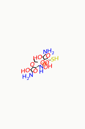 CC(C)OC1C(O)[C@H](N)O[C@@H]1CNP(=O)(O)OC1C(O)[C@H](N)O[C@@H]1CS